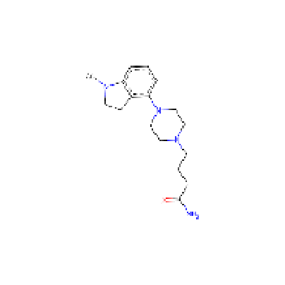 CC(=O)N1CCc2c(N3CCN(CCCC(N)=O)CC3)cccc21